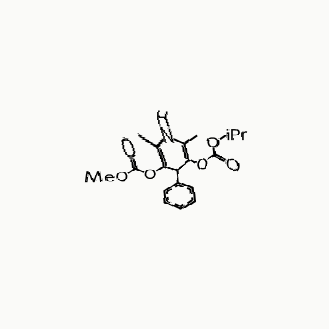 COC(=O)OC1=C(C)NC(C)=C(OC(=O)OC(C)C)C1c1ccccc1